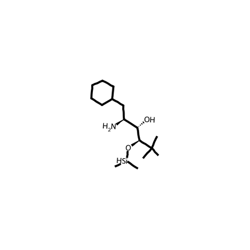 C[SiH](C)O[C@@H]([C@@H](O)[C@@H](N)CC1CCCCC1)C(C)(C)C